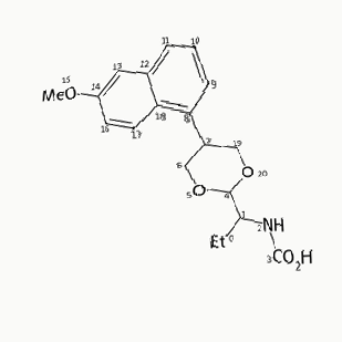 CCC(NC(=O)O)C1OCC(c2cccc3cc(OC)ccc23)CO1